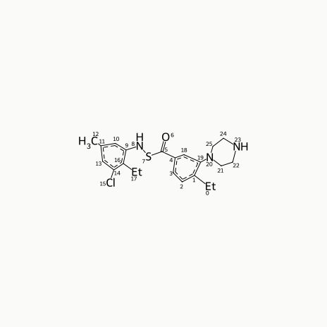 CCc1ccc(C(=O)SNc2cc(C)cc(Cl)c2CC)cc1N1CCNCC1